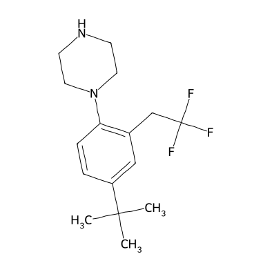 CC(C)(C)c1ccc(N2CCNCC2)c(CC(F)(F)F)c1